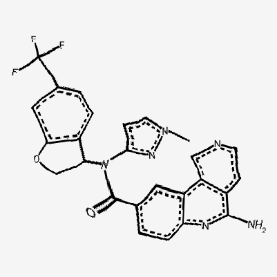 Cn1ccc(N(C(=O)c2ccc3nc(N)c4ccncc4c3c2)C2COc3cc(C(F)(F)F)ccc32)n1